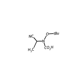 CC(C#N)N(OC(C)(C)C)C(=O)O